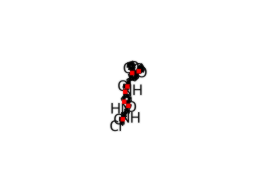 O=C(CCl)NCCNC(=O)C1CCC(CNC(=O)CCc2ccc(C3OCCO3)c(C3OCCO3)c2)CC1